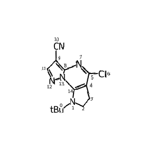 CC(C)(C)N1CCc2c(Cl)nc3c(C#N)cnn3c21